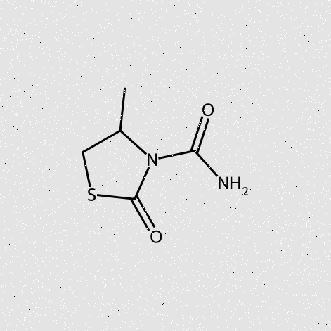 CC1CSC(=O)N1C(N)=O